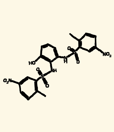 Cc1ccc([N+](=O)[O-])cc1S(=O)(=O)Nc1cccc(O)c1NS(=O)(=O)c1cc([N+](=O)[O-])ccc1C